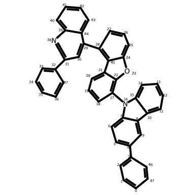 c1ccc(-c2ccc3c(c2)c2ccccc2n3-c2cccc3c2oc2cccc(-c4cc(-c5ccccc5)nc5ccccc45)c23)cc1